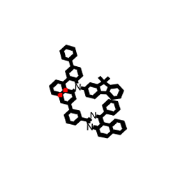 CC1(C)c2ccccc2-c2ccc(N(c3cccc(-c4cccc(-c5nc(-c6ccccc6)c6c(ccc7ccccc76)n5)c4)c3)c3ccc(-c4ccccc4)cc3-c3ccccc3)cc21